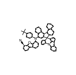 CC(C)(C)c1ccc(N(c2cc3c(c4ccccc24)-c2c(ccc4ccccc24)C32c3ccccc3-n3c4ccccc4c4cccc2c43)c2cccc3c2oc2c(C#N)cccc23)cc1